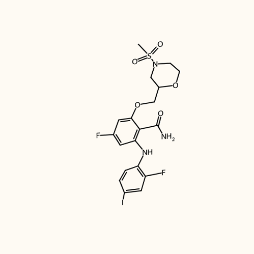 CS(=O)(=O)N1CCOC(COc2cc(F)cc(Nc3ccc(I)cc3F)c2C(N)=O)C1